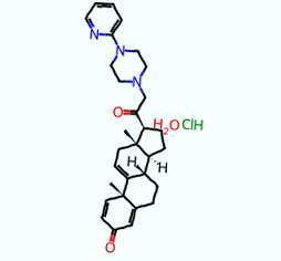 C[C@]12C=CC(=O)C=C1CC[C@@H]1C2=CC[C@]2(C)[C@@H](C(=O)CN3CCN(c4ccccn4)CC3)CC[C@@H]12.Cl.O